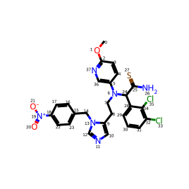 COc1ccc(N(CCc2cncn2Cc2ccc([N+](=O)[O-])cc2)C(C(N)=S)c2cccc(Cl)c2Cl)cn1